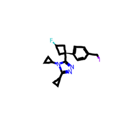 F[C@H]1C[C@](c2ccc(CI)cc2)(c2nnc(C3CC3)n2C2CC2)C1